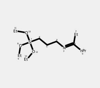 CCCC(CC)=NCCC[Si](OCC)(OCC)OCC